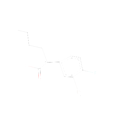 CCCCC(C(=O)O)c1ccc(F)c(Br)c1